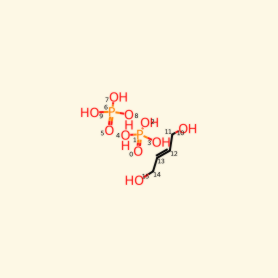 O=P(O)(O)O.O=P(O)(O)O.OCC=CCO